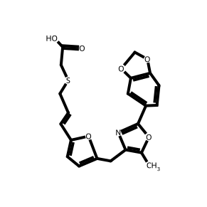 Cc1oc(-c2ccc3c(c2)OCO3)nc1Cc1ccc(C=CCSCC(=O)O)o1